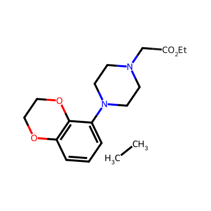 CC.CCOC(=O)CN1CCN(c2cccc3c2OCCO3)CC1